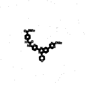 CNC(=O)c1ccc(NC(=O)Nc2ccc(-c3nc(N4CCOCC4)c4ccc(-c5cnc(OC)nc5)cc4n3)cn2)cc1